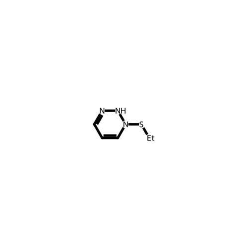 CCSN1C=CC=NN1